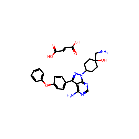 NCC1(O)CCC(n2nc(-c3ccc(Oc4ccccc4)cc3)c3c(N)ncnc32)CC1.O=C(O)C=CC(=O)O